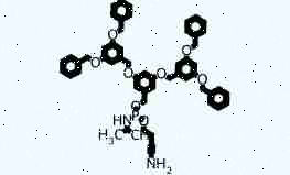 CC(C)NP(OCCC#CN)OCc1cc(OCc2cc(OCc3ccccc3)cc(OCc3ccccc3)c2)cc(OCc2cc(OCc3ccccc3)cc(OCc3ccccc3)c2)c1